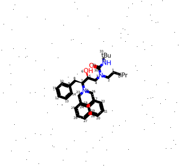 CC(C)CCN(C[C@H](O)[C@H](Cc1ccccc1)N(Cc1ccccc1)Cc1ccccc1)C(=O)NC(C)(C)C